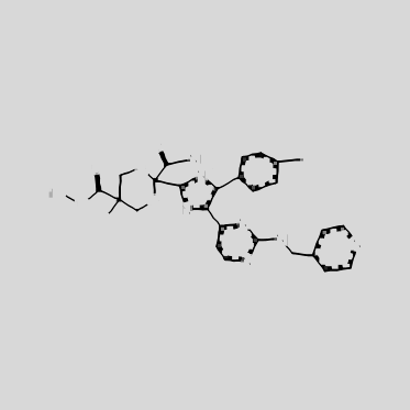 CC(C)OC(=O)C1(C)COC(C(N)=O)(c2nc(-c3ccc(F)cc3)c(-c3ccnc(NCc4ccncc4)n3)[nH]2)OC1